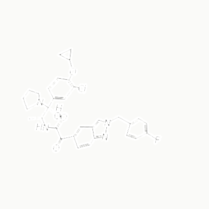 C[C@@H](NC(=O)C(=O)c1ccc2nn(Cc3ccc(F)cc3)cc2c1)[C@](O)(c1ccc(OC2CC2)c(Cl)c1)N1CCCC1